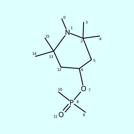 CN1C(C)(C)CC(OP(C)(C)=O)CC1(C)C